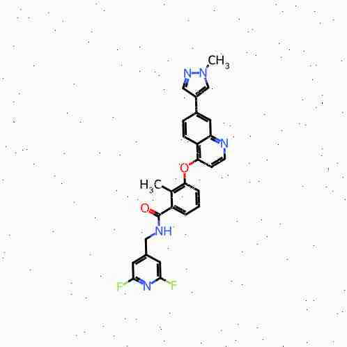 Cc1c(Oc2ccnc3cc(-c4cnn(C)c4)ccc23)cccc1C(=O)NCc1cc(F)nc(F)c1